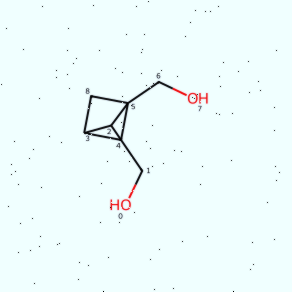 OCC1C2CC1(CO)C2